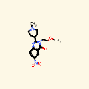 COCCn1c(C2CCN(C)CC2)nc2ccc([N+](=O)[O-])cc2c1=O